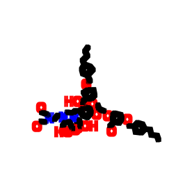 CCCCc1ccc(COc2ccc(OCC(COc3ccc(OCc4ccc(CCCC)cc4)cc3C(=O)O)Oc3ccc(CC(CN(CC=O)CCN(CC=O)CC=O)N(CC(=O)O)CC(=O)O)cc3)c(C=O)c2)cc1